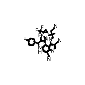 CC(C)(CC#N)CNc1c(C#N)cnc2c(C#N)cc(NC(c3ccc(F)cc3)c3cn(C4(C(F)(F)F)CC4)nn3)cc12